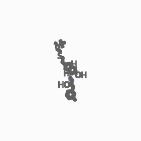 Cc1cccc(C[C@@H](O)/C=C/[C@@H]2[C@H]3CC(CCSCCN(C)C(C)(C)C)=C[C@H]3C[C@H]2O)c1